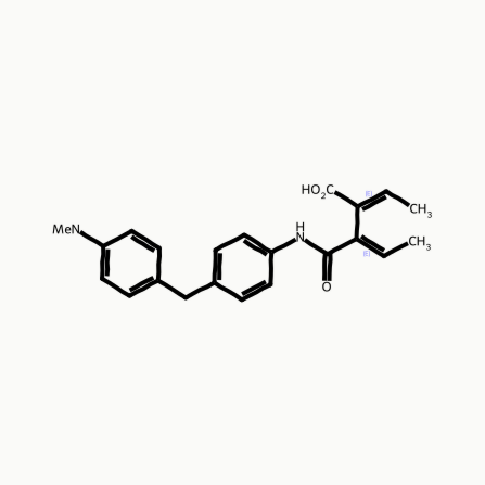 C/C=C(C(=O)O)\C(=C/C)C(=O)Nc1ccc(Cc2ccc(NC)cc2)cc1